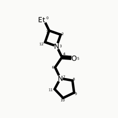 CCC1CN(C(=O)CN2CCCC2)C1